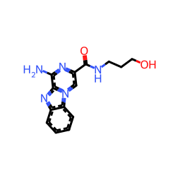 Nc1nc(C(=O)NCCCO)cn2c1nc1ccccc12